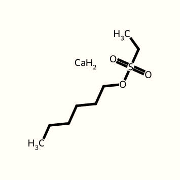 CCCCCCOS(=O)(=O)CC.[CaH2]